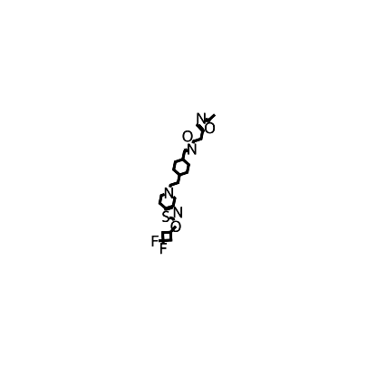 Cc1ncc(CC(=O)/N=C/C2CCC(CCN3CCc4sc(OC5CC(F)(F)C5)nc4C3)CC2)o1